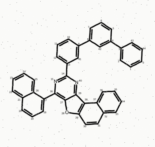 c1ccc(-c2cccc(-c3cccc(-c4nc(-c5cccc6ccccc56)c5oc6ccc7ccccc7c6c5n4)c3)c2)cc1